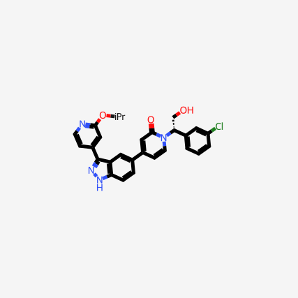 CC(C)Oc1cc(-c2n[nH]c3ccc(-c4ccn([C@H](CO)c5cccc(Cl)c5)c(=O)c4)cc23)ccn1